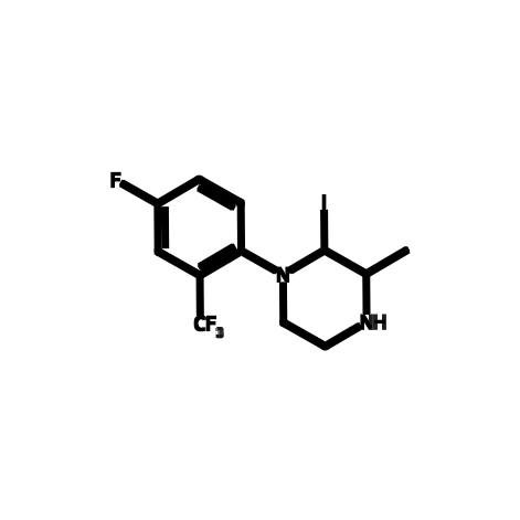 CC1NCCN(c2ccc(F)cc2C(F)(F)F)C1I